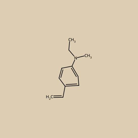 C=Cc1ccc(N(C)CC)cc1